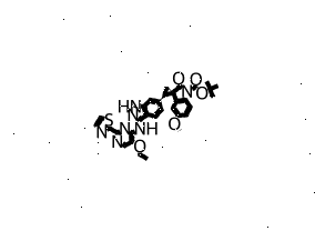 CCOc1cnc(-c2nccs2)nc1Nc1n[nH]c2cc([C@@H]3C[C@@]34C(=O)N(C(=O)OC(C)(C)C)c3ccc(OC)cc34)ccc12